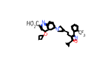 O=C(O)c1cc(OC2CCC2)c2cc(N3CC4C(C=Cc5c(-c6ccccc6C(F)(F)F)noc5C5CC5)C4C3)ccc2n1